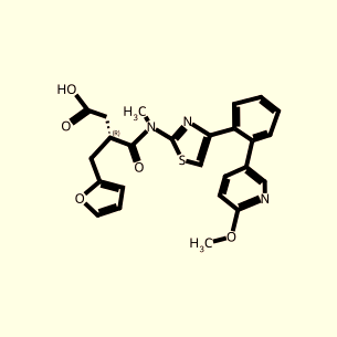 COc1ccc(-c2ccccc2-c2csc(N(C)C(=O)[C@@H](CC(=O)O)Cc3ccco3)n2)cn1